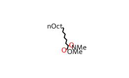 CCCCCCCCCCCCCCC(ONC)C(=O)OC